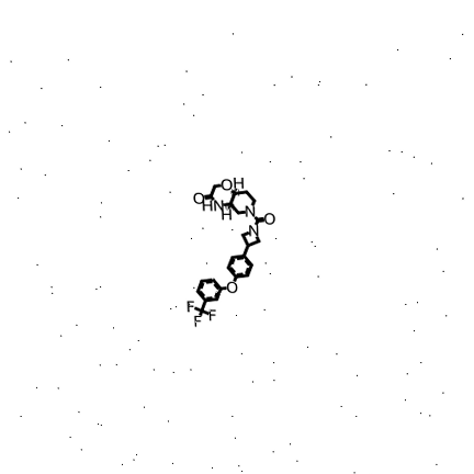 O=C1CO[C@H]2CCN(C(=O)N3CC(c4ccc(Oc5cccc(C(F)(F)F)c5)cc4)C3)C[C@H]2N1